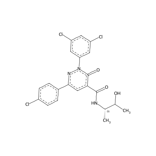 CC(O)[C@H](C)NC(=O)c1cc(-c2ccc(Cl)cc2)nn(-c2cc(Cl)cc(Cl)c2)c1=O